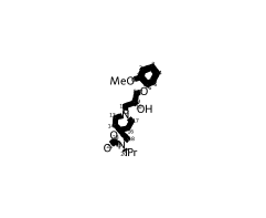 COc1ccccc1OCC(O)CN1CCC2(CC1)CN(C(C)C)C(=O)O2